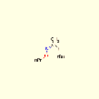 CCCO/N=C(/C)CC(C)(C)C